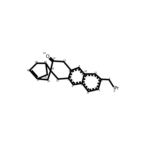 CC(C)Cc1ccc2cc3c(cc2c1)CC(=O)C1(CC2=CCC1C2)C3